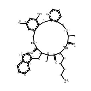 CC1NCc2cccnc2Sc2c(Cl)cc(Cl)cc2CNC(=O)C(Cc2c[nH]c3ccccc23)N(C)C(=O)C(CCCCN)NC1=O